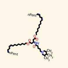 CCCCC/C=C\C/C=C\CCCCCCCCOC(=O)CC(CC(=O)OCCCCCCCC/C=C\C/C=C\CCCCC)NC(=O)CCCCN1CC(C)C(C)C(C)C1